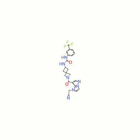 N#CCn1ccn2ncc(C(=O)N3CC4(CC(NC(=O)Nc5cccc(C(F)(F)F)c5)C4)C3)c12